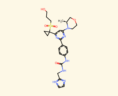 C[C@H]1COCCN1c1cc(C2(S(=O)(=O)CCCO)CC2)nc(-c2ccc(NC(=O)NCc3ncc[nH]3)cc2)n1